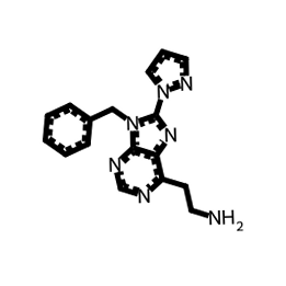 NCCc1ncnc2c1nc(-n1cccn1)n2Cc1ccccc1